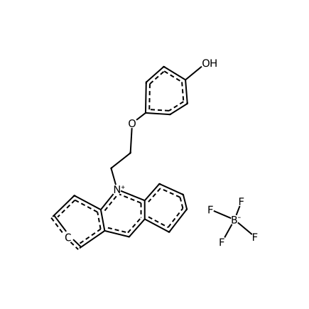 F[B-](F)(F)F.Oc1ccc(OCC[n+]2c3ccccc3cc3ccccc32)cc1